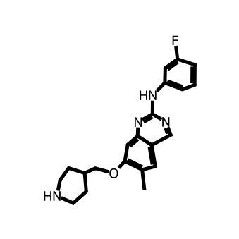 Cc1cc2cnc(Nc3cccc(F)c3)nc2cc1OCC1CCNCC1